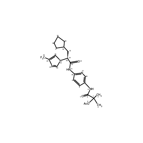 CC(=O)OC(C)(C)C(=O)Nc1ccc(NC(=O)[C@H](CC2CCCC2)n2cnc(C(F)(F)F)c2)nc1